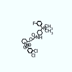 CN(C)C(c1cccc(F)c1)C1CCC(NC(=O)COCC2CCCCN2S(=O)(=O)c2ccc(Cl)c(Cl)c2)CC1